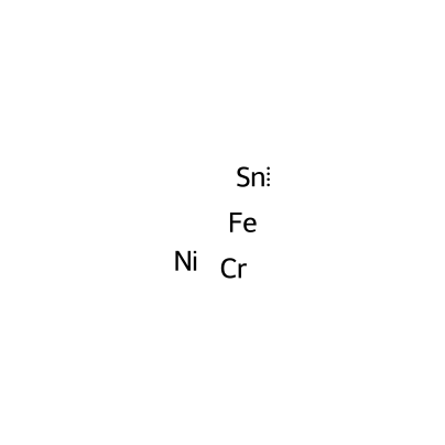 [Cr].[Fe].[Ni].[Sn]